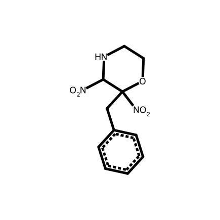 O=[N+]([O-])C1NCCOC1(Cc1ccccc1)[N+](=O)[O-]